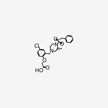 C[C@H]1CN(Cc2cc(Cl)ccc2OCC(=O)O)CCN1S(=O)(=O)Cc1ccccc1